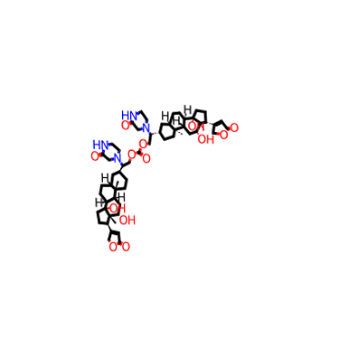 C[C@]12CC[C@H](C(COC(=O)OCC([C@H]3CC[C@@]4(C)[C@H](CC[C@@H]5[C@@H]4C[C@@H](O)[C@]4(C)[C@@H](C6=CC(=O)OC6)CC[C@]54O)C3)N3CCNC(=O)C3)N3CCNC(=O)C3)C[C@H]1CC[C@@H]1[C@@H]2C[C@@H](O)[C@]2(C)[C@@H](C3=CC(=O)OC3)CC[C@]12O